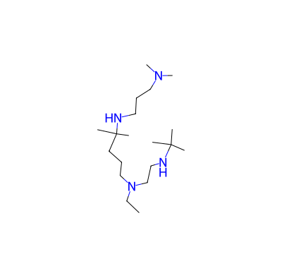 CCN(CCCC(C)(C)NCCCN(C)C)CCNC(C)(C)C